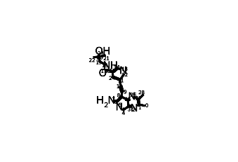 Cc1nc2cnc(N)c(C#Cc3cncc(C(=O)NCC(C)(C)O)c3)c2nc1C